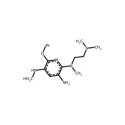 CC(C)Oc1nc(N(C)CCN(C)C)c(N)cc1NC(=O)O